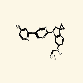 CC[S+]([O-])c1ccc2c(c1)N(c1ncc(-c3cc(N)ccn3)cn1)CC21CC1